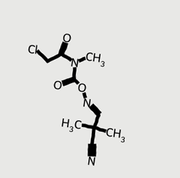 CN(C(=O)CCl)C(=O)ON=CC(C)(C)C#N